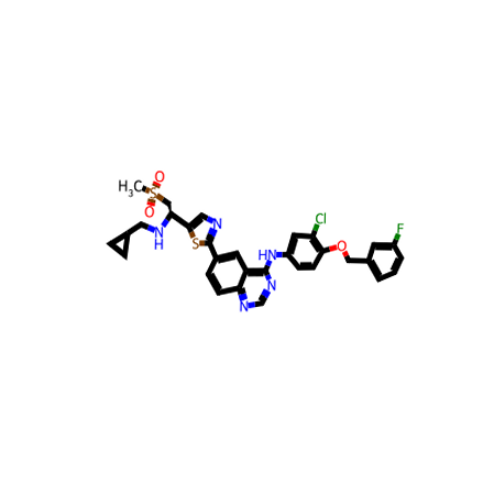 CS(=O)(=O)C[C@H](NCC1CC1)c1cnc(-c2ccc3ncnc(Nc4ccc(OCc5cccc(F)c5)c(Cl)c4)c3c2)s1